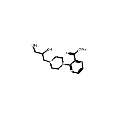 COC(=O)c1nccnc1N1CCN(CC(O)CO)CC1